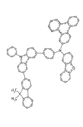 CC1(C)c2ccccc2-c2ccc(-c3ccc4c(c3)c3cc(-c5ccc(N(c6ccc7oc8ccccc8c7c6)c6ccc7c8ccccc8c8ccccc8c7c6)cc5)ccc3n4-c3ccccc3)cc21